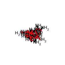 CC(C)C[C@H](NC(=O)CNC(=O)[C@H](CO)NC(=O)[C@H](C)NC(=O)[C@H](CCCNC(=N)N)NC(=O)[C@H](CC(C)C)NC(=O)[C@@H](NC(=O)[C@H](Cc1ccccc1)NC(=O)[C@H](Cc1ccc(O)cc1)NC(=O)[C@H](Cc1ccc(O)cc1)NC(=O)[C@H](CCCCN)NC(=O)[C@H](CCCCN)NC(=O)[C@H](Cc1c[nH]c2ccccc12)NC(=O)[C@@H](NC(=O)[C@H](CCCCN)NC(=O)[C@H](CCCCN)NC(=O)CN)C(C)C)C(C)C)C(=O)O